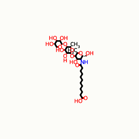 C[C@@H]1O[C@H](CO)C(NC(=O)CCCCCCCCCCC(=O)O)C(O)C1O[C@@H]1O[C@H](C)C(O[C@@H]2OC[C@@H](O)C(O)C2O)C(O)C1O